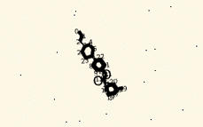 CCC[C@H]1CC[C@H](c2ccc(OC(=O)c3cccc(C)c3)cc2)CC1